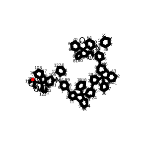 c1ccc(N(c2ccc(-c3ccc4c(c3)C(c3ccccc3)(c3cccc(-c5cccc(C6(c7ccccc7)c7ccccc7-c7cc(-c8ccc(N(c9ccccc9)c9ccc%10c(c9)C9(c%11ccccc%11O%10)c%10ccccc%10-c%10ccccc%109)cc8)ccc76)c5)c3)c3ccccc3-4)cc2)c2ccc3c(c2)-c2ccccc2C32c3ccccc3Oc3ccccc32)cc1